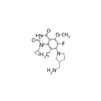 COc1c(F)c(N2CCC(CN)C2)c(C)c2c1c(=O)[nH]c(=O)n2C1CC1